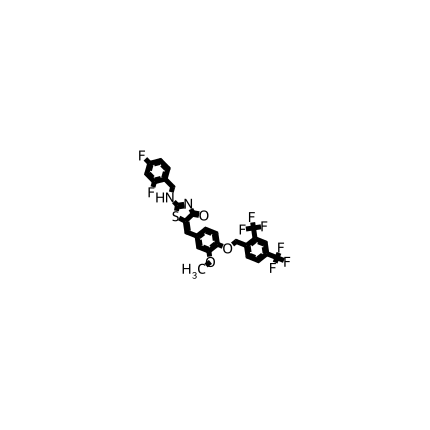 COc1cc(C=C2SC(NCc3ccc(F)cc3F)=NC2=O)ccc1OCc1ccc(C(F)(F)F)cc1C(F)(F)F